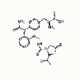 CC(=O)N1CC(=S)C[C@H]1C(=O)O.COc1ccccc1N(C(N)=O)c1ccc(C[C@H](N)C(=O)O)cc1